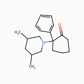 CC1CC(C)CN(C2(c3ccccc3)CCCCC2=O)C1